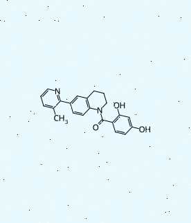 Cc1cccnc1-c1ccc2c(c1)CCCN2C(=O)c1ccc(O)cc1O